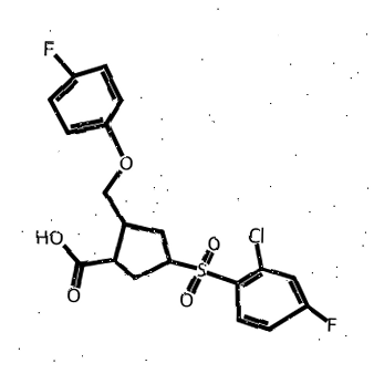 O=C(O)C1CC(S(=O)(=O)c2ccc(F)cc2Cl)CC1COc1ccc(F)cc1